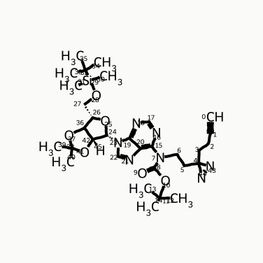 C#CCCC1(CCN(C(=O)OC(C)(C)C)c2ncnc3c2ncn3[C@H]2O[C@@H](CO[Si](C)(C)C(C)(C)C)C3OC(C)(C)O[C@H]32)N=N1